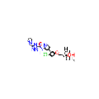 CC(C)(O)CCCOc1ccc(Cl)c(-c2ccnc(NC(=O)c3nnc(CN4CCCC4)[nH]3)c2)c1